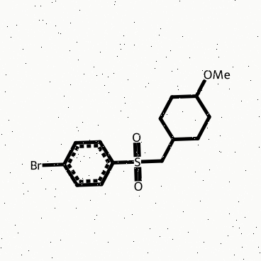 COC1CCC(CS(=O)(=O)c2ccc(Br)cc2)CC1